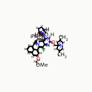 C=C1CN2CC(=C)CC2(COc2nc(N3C[C@H]4CC[C@@H](C3)N4C(=O)O)c3cnc(-c4cc(OCOC)cc5cccc(C#C[Si](C(C)C)(C(C)C)C(C)C)c45)c(F)c3n2)C1